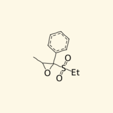 CCS(=O)(=O)C1(c2ccccc2)OC1C